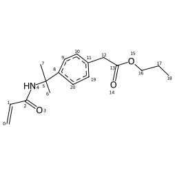 C=CC(=O)NC(C)(C)c1ccc(CC(=O)OCCC)cc1